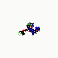 Cc1cc(OCCCc2c3n(c4c(-c5c(C)nn(C)c5C)c(Cl)ccc24)C(C)CN(c2cn(C)c4ccc(-n5nnnc5C)nc24)C3=O)cc(C)c1Cl